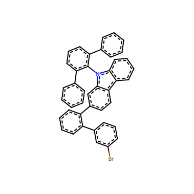 Brc1cccc(-c2ccccc2-c2ccc3c4ccccc4n(-c4c(-c5ccccc5)cccc4-c4ccccc4)c3c2)c1